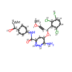 BOC#C[C@@H](Oc1cc(C(=O)Nc2ccc(C(=O)OC)cc2)nnc1N)c1c(Cl)ccc(F)c1Cl